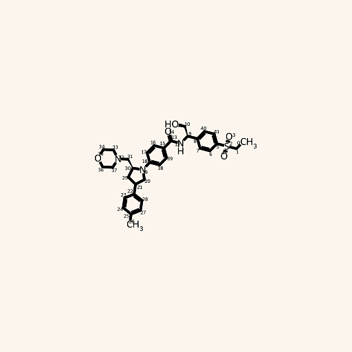 CCS(=O)(=O)c1ccc([C@H](CO)NC(=O)c2ccc(N3CC(c4ccc(C)cc4)C[C@H]3CN3CCOCC3)cc2)cc1